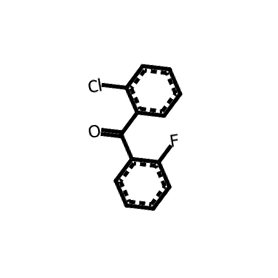 O=C(c1ccccc1F)c1ccccc1Cl